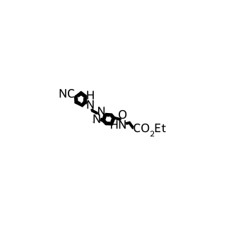 CCOC(=O)CCNC(=O)c1ccc2c(c1)nc(CNc1ccc(C#N)cc1)n2C